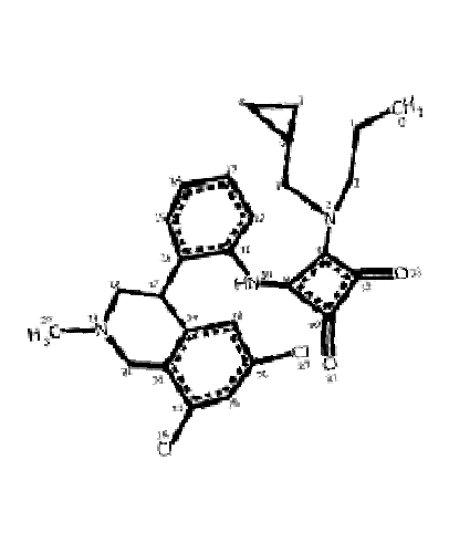 CCCN(CC1CC1)c1c(Nc2ccccc2C2CN(C)Cc3c(Cl)cc(Cl)cc32)c(=O)c1=O